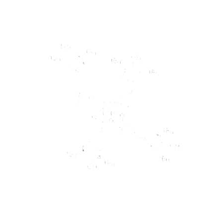 CC(C)(C)c1cc(CCC(=O)OCC(C)(C)C(OC(=O)CCc2cc(C(C)(C)C)c(O)c(C(C)(C)C)c2)(OC(=O)CCc2cc(C(C)(C)C)c(O)c(C(C)(C)C)c2)OC(=O)CCc2cc(C(C)(C)C)c(O)c(C(C)(C)C)c2)cc(C(C)(C)C)c1O